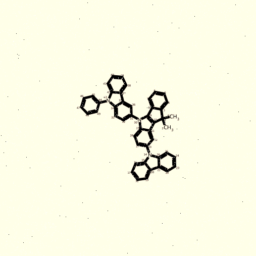 CC1(C)c2ccccc2-c2c1c1cc(-n3c4ccccc4c4ccccc43)ccc1n2-c1ccc2c(c1)c1ccccc1n2-c1ccccc1